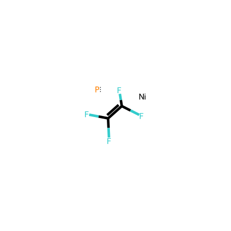 FC(F)=C(F)F.[Ni].[P]